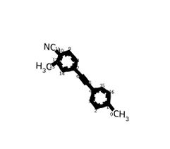 Cc1ccc(C#Cc2ccc(C#N)c(C)c2)cc1